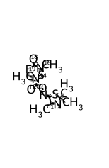 CC1=NC(C)(C)SC1=NOC(=O)N(C)SN(C)C(=O)F